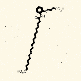 O=C(O)CCCCCCCCCCCCCCCCCCCC(=O)Nc1ccccc1SCCCC(=O)O